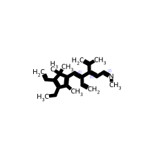 C=CC1=C(CC)C(C)=C(/C=C(C=C)/C(=C/C=N\C)C(=C)C)C1(C)C